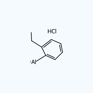 CCc1cccc[c]1[Al].Cl